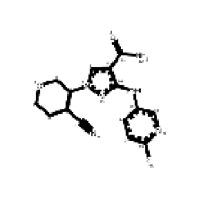 N#CC1CCOCC1n1cc(C(N)=O)c(Nc2ccc(Cl)nc2)n1